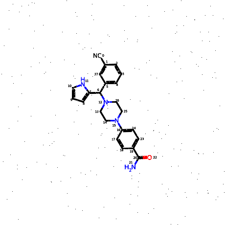 N#Cc1cccc(C(c2ccc[nH]2)N2CCN(c3ccc(C(N)=O)cc3)CC2)c1